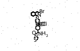 Cl.Cl.Cl.NC(C(=O)N1CCSC1)C1CCC(N2CCN(c3nc(Br)cc4ccccc34)CC2)CC1